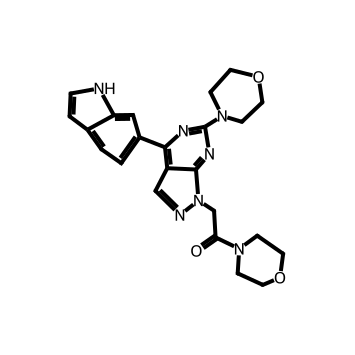 O=C(Cn1ncc2c(-c3ccc4cc[nH]c4c3)nc(N3CCOCC3)nc21)N1CCOCC1